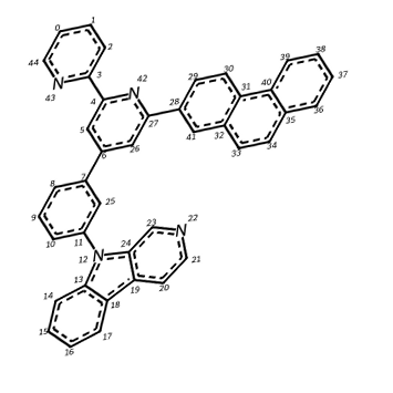 c1ccc(-c2cc(-c3cccc(-n4c5ccccc5c5ccncc54)c3)cc(-c3ccc4c(ccc5ccccc54)c3)n2)nc1